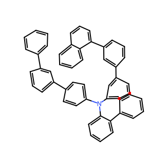 c1ccc(-c2cccc(-c3ccc(N(c4cccc(-c5cccc(-c6cccc7ccccc67)c5)c4)c4ccccc4-c4ccccc4)cc3)c2)cc1